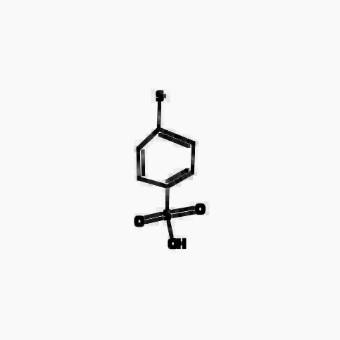 O=S(=O)(O)c1ccc([S])cc1